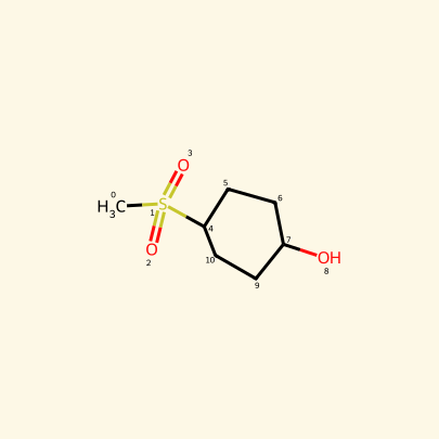 CS(=O)(=O)C1CCC(O)CC1